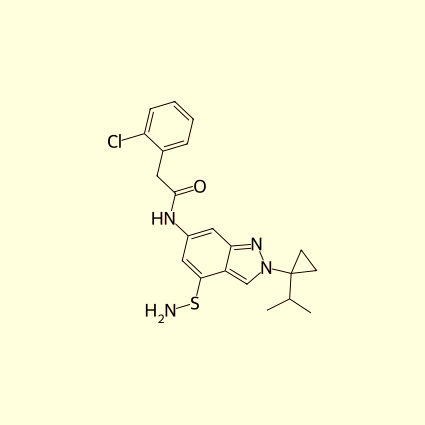 CC(C)C1(n2cc3c(SN)cc(NC(=O)Cc4ccccc4Cl)cc3n2)CC1